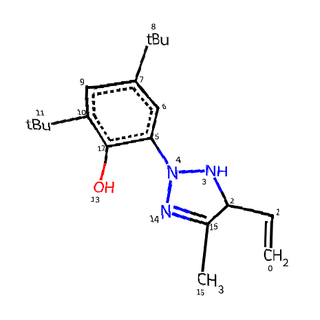 C=CC1NN(c2cc(C(C)(C)C)cc(C(C)(C)C)c2O)N=C1C